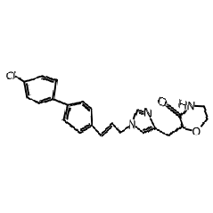 O=C1NCCOC1Cc1cn(CC=Cc2ccc(-c3ccc(Cl)cc3)cc2)cn1